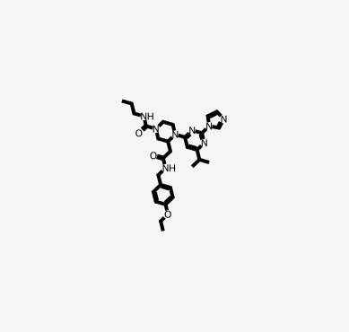 CCCNC(=O)N1CCN(c2cc(C(C)C)nc(-n3ccnc3)n2)C(CC(=O)NCc2ccc(OCC)cc2)C1